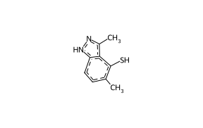 Cc1ccc2[nH]nc(C)c2c1S